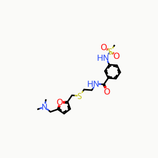 CN(C)Cc1ccc(CSCCNC(=O)c2cccc(NS(C)(=O)=O)c2)o1